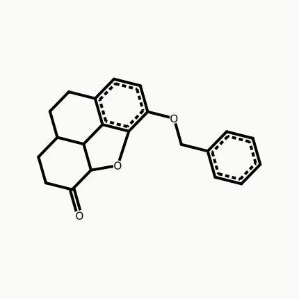 O=C1CCC2CCc3ccc(OCc4ccccc4)c4c3C2C1O4